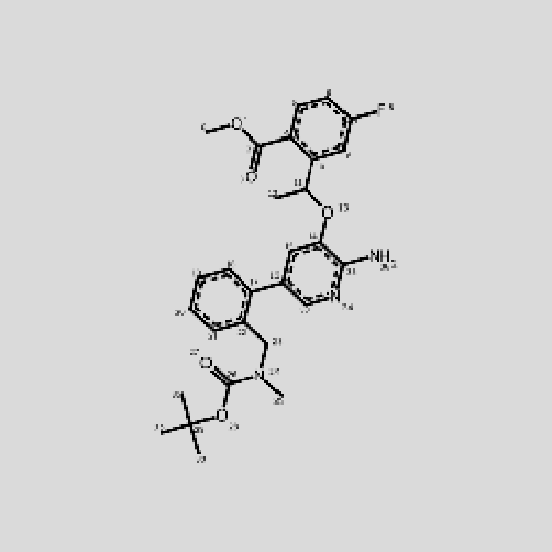 COC(=O)c1ccc(F)cc1C(C)Oc1cc(-c2ccccc2CN(C)C(=O)OC(C)(C)C)cnc1N